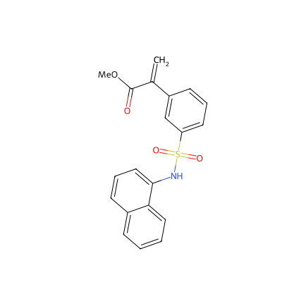 C=C(C(=O)OC)c1cccc(S(=O)(=O)Nc2cccc3ccccc23)c1